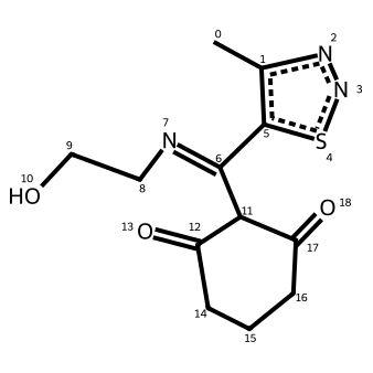 Cc1nnsc1/C(=N/CCO)C1C(=O)CCCC1=O